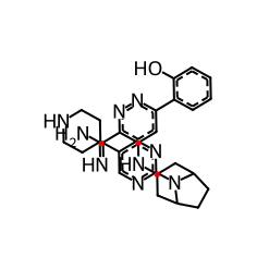 N=C(N)c1nnc(-c2ccccc2O)cc1NC1CC2CCC(C1)N2c1ncc(C2CCNCC2)cn1